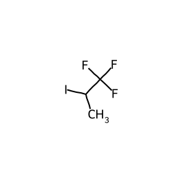 CC(I)C(F)(F)F